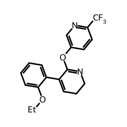 CCOc1ccccc1C1=CCCN=C1Oc1ccc(C(F)(F)F)nc1